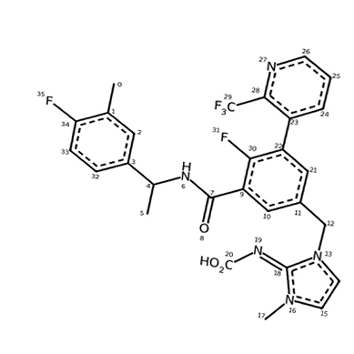 Cc1cc(C(C)NC(=O)c2cc(Cn3ccn(C)c3=NC(=O)O)cc(-c3cccnc3C(F)(F)F)c2F)ccc1F